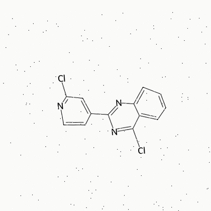 Clc1cc(-c2nc(Cl)c3ccccc3n2)ccn1